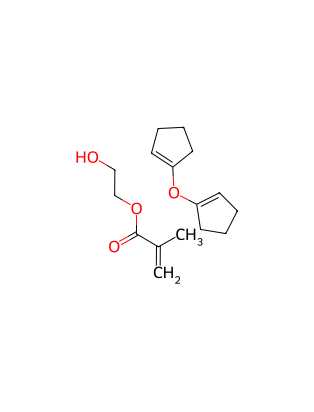 C1=C(OC2=CCCC2)CCC1.C=C(C)C(=O)OCCO